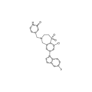 O=c1cc(CN2CCS(=O)(=O)c3c(Cl)cc(-n4ccc5cc(F)ccc54)cc3C2)cc[nH]1